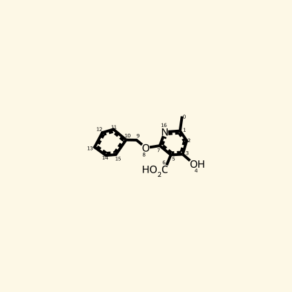 Cc1cc(O)c(C(=O)O)c(OCc2ccccc2)n1